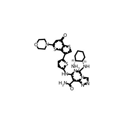 NC(=O)c1c(Nc2ccc(-c3csc4c(=O)cc(N5CCOCC5)sc34)s2)nc(N[C@H]2CCCC[C@H]2N)n2cnnc12